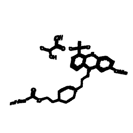 CCCCCCC(=O)OCCC1CCN(CCCN2c3cc(OC)ccc3Sc3c2cccc3S(C)(=O)=O)CC1.O=C(O)C(=O)O